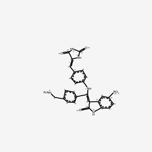 CC(=O)NCc1ccc(C(Nc2ccc(/C=C3\NC(=O)NC3=O)cc2)=C2C(=O)Nc3ccc([N+](=O)[O-])cc32)cc1